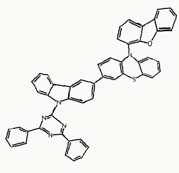 c1ccc(-c2nc(-c3ccccc3)nc(-n3c4ccccc4c4cc(-c5ccc6c(c5)Sc5ccccc5N6c5cccc6c5oc5ccccc56)ccc43)n2)cc1